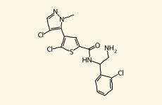 Cn1ncc(Cl)c1-c1cc(C(=O)NC(CN)c2ccccc2Cl)sc1Cl